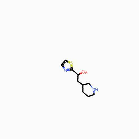 OC(CC1CCCNC1)c1nccs1